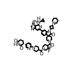 CC(C)n1cnc2cc(-c3ccc4c(c3)N(C3CC(N5CCCCC5)C3)C(=O)C43CCN(C(=O)C4CCN(C(=O)C5CCN(c6ccc([C@H]7CCC(=O)NC7=O)cn6)CC5)CC4(F)F)CC3)nc(NC3CC3)c21